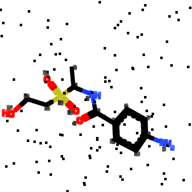 CC(NC(=O)c1ccc(N)cc1)S(=O)(=O)CCO